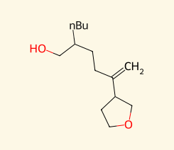 C=C(CCC(CO)CCCC)C1CCOC1